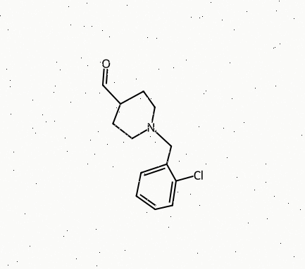 O=CC1CCN(Cc2ccccc2Cl)CC1